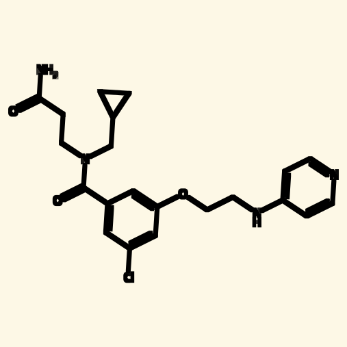 NC(=O)CCN(CC1CC1)C(=O)c1cc(Cl)cc(OCCNc2ccncc2)c1